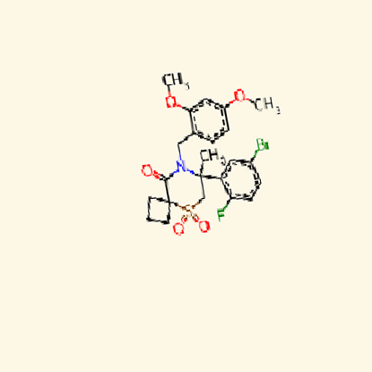 COc1ccc(CN2C(=O)C3(CCC3)S(=O)(=O)CC2(C)c2cc(Br)ccc2F)c(OC)c1